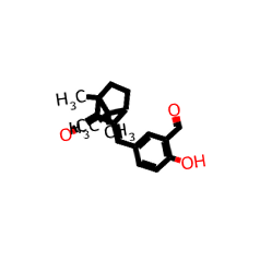 CC12CCC(C(=Cc3ccc(O)c(C=O)c3)C1=C=O)C2(C)C